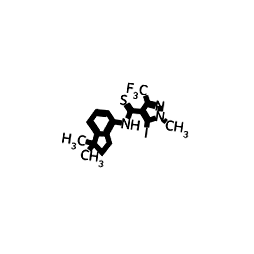 Cn1nc(C(F)(F)F)c(C(=S)Nc2cccc3c2CCC3(C)C)c1I